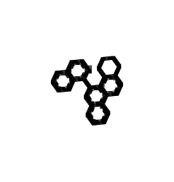 c1ccc2c(-c3cc4ccccc4c4ccc5c(c34)CCCC5)nccc2c1